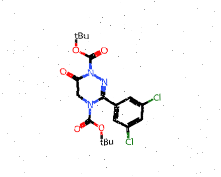 CC(C)(C)OC(=O)N1CC(=O)N(C(=O)OC(C)(C)C)N=C1c1cc(Cl)cc(Cl)c1